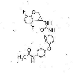 CC(=O)Nc1ccc(Oc2ccc(NC(=O)N[C@@H]3C4COc5c(F)ccc(F)c5C43)nc2)cc1